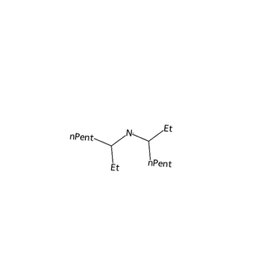 CCCCCC(CC)[N]C(CC)CCCCC